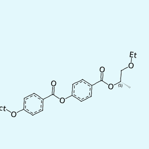 CCCCCCCCOc1ccc(C(=O)Oc2ccc(C(=O)O[C@@H](C)COCC)cc2)cc1